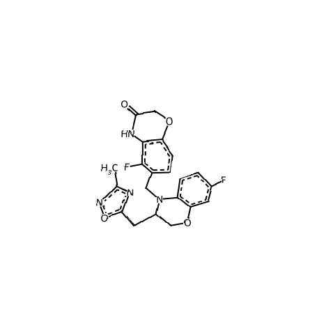 Cc1noc(CC2COc3cc(F)ccc3N2Cc2ccc3c(c2F)NC(=O)CO3)n1